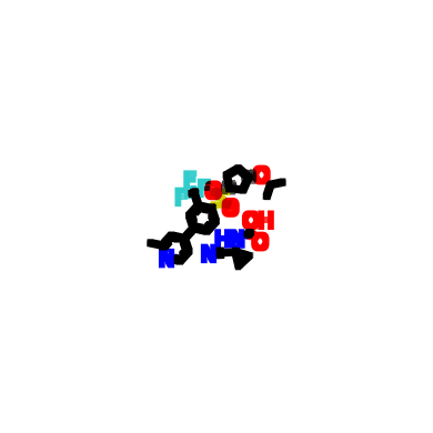 Cc1cc(-c2ccc(S(=O)(=O)[C@H]3CC[C@H](OC(C)C)C3)c(C(F)(F)F)c2)ccn1.N#CC1(NC(=O)O)CC1